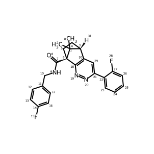 CC1(C)[C@@H]2CC[C@@]1(C(=O)NCc1ccc(F)cc1)c1nnc(-c3ccccc3F)cc12